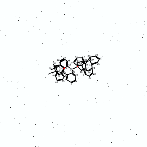 Cc1cccc(-c2ccccc2N(c2ccc3c(c2)-c2c4cccc2-c2cccc-3c2-c2ccccc2-4)c2cc#cc3c2-c2ccccc2C3(C)C)c1